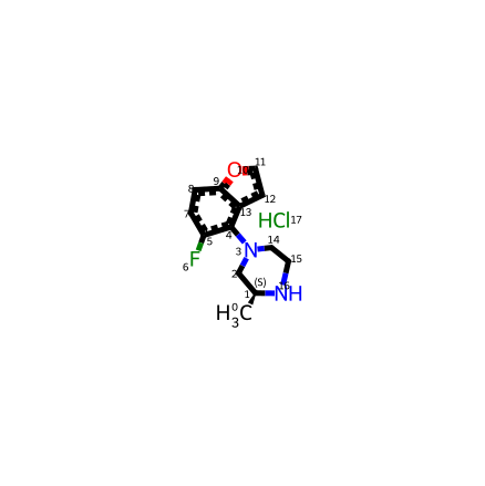 C[C@H]1CN(c2c(F)ccc3occc23)CCN1.Cl